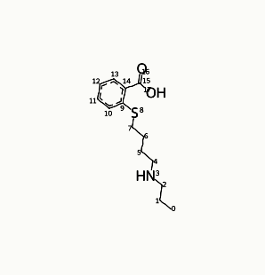 CCCNCCCCSc1ccccc1C(=O)O